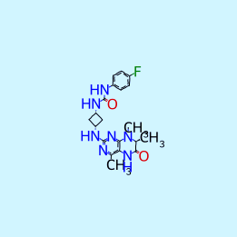 Cc1nc(N[C@H]2C[C@@H](NC(=O)Nc3ccc(F)cc3)C2)nc2c1NC(=O)[C@H](C)N2C